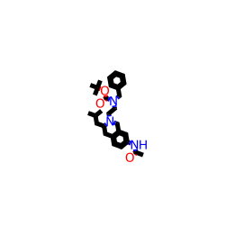 CC(=O)Nc1ccc2c(c1)CN(CCN(Cc1ccccc1)C(=O)OC(C)(C)C)C(CC(C)C)C2